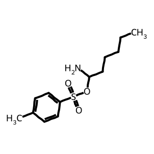 CCCCCC(N)OS(=O)(=O)c1ccc(C)cc1